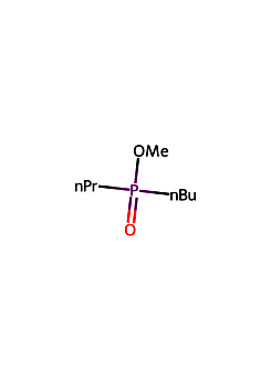 CCCCP(=O)(CCC)OC